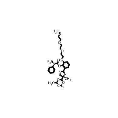 COCCOCCOCCOc1cccc(C2=N[C@@](C)(C(=O)OC(C)C)CS2)c1OC(=O)N(C)c1ccccc1